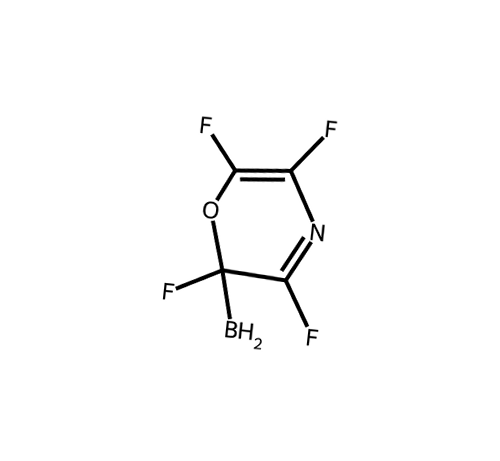 BC1(F)OC(F)=C(F)N=C1F